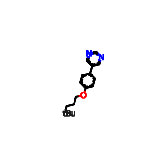 CC(C)(C)CCCOc1ccc(-c2cncnc2)cc1